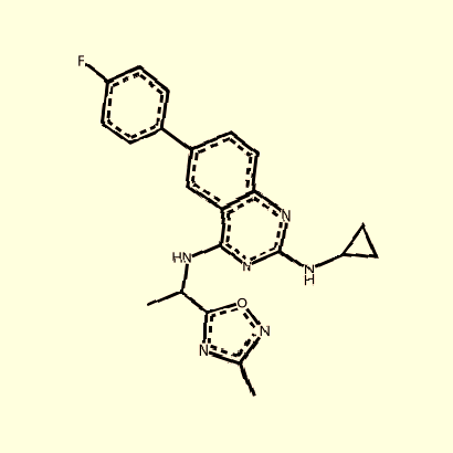 Cc1noc(C(C)Nc2nc(NC3CC3)nc3ccc(-c4ccc(F)cc4)cc23)n1